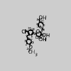 CCOc1ccc(Cc2cc([C@H]3C[C@@H](O)[C@H](O)[C@@H](CN4CCC(CO)CC4)O3)ccc2Cl)cc1